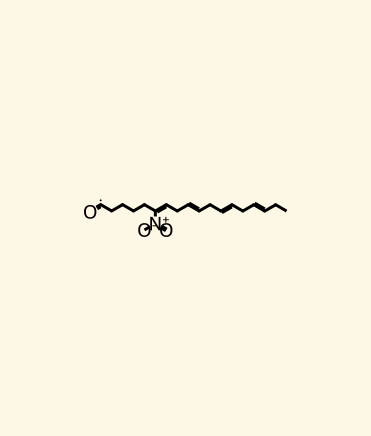 CC/C=C/C/C=C/C/C=C/C/C=C(/CCCC[C]=O)[N+](=O)[O-]